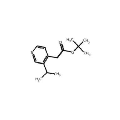 CC(C)c1cnccc1CC(=O)OC(C)(C)C